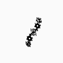 c1ncn(-c2ccc(CNCCNCc3ccc(-n4cncn4)cc3)cc2)n1